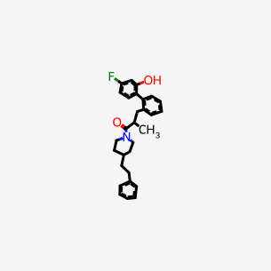 CC(Cc1ccccc1-c1ccc(F)cc1O)C(=O)N1CCC(CCc2ccccc2)CC1